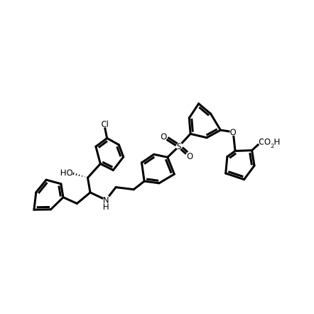 O=C(O)c1ccccc1Oc1cccc(S(=O)(=O)c2ccc(CCNC(Cc3ccccc3)[C@H](O)c3cccc(Cl)c3)cc2)c1